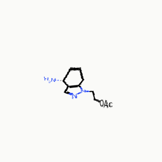 CC(=O)OCCn1ncc2c1CCC[C@H]2N